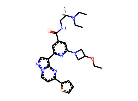 CCOC1CN(c2cc(C(=O)NC[C@H](C)N(CC)CC)cc(-c3cnn4ccc(-c5cccs5)nc34)n2)C1